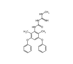 CNC(=N)NC(=O)Nc1c(C)c(Oc2ccccc2)cc(Oc2ccccc2)c1C